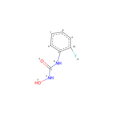 O=C(NO)Nc1ccccc1F